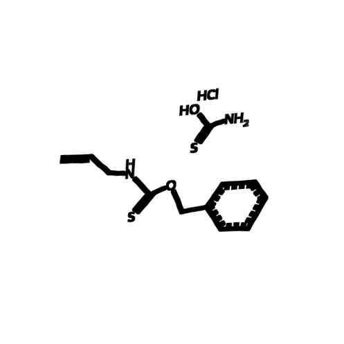 C=CCNC(=S)OCc1ccccc1.Cl.NC(O)=S